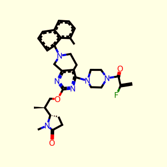 C=C(F)C(=O)N1CCN(c2nc(OC[C@H](C)[C@@H]3CCC(=O)N3C)nc3c2CCN(c2cccc4cccc(C)c24)C3)CC1